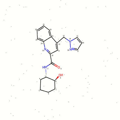 O=C(N[C@H]1CCCC[C@@H]1O)c1cc(Cn2cccn2)c2ccccc2n1